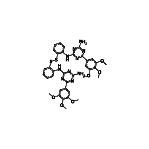 COc1cc(-c2nc(N)nc(Nc3ccccc3SSc3ccccc3Nc3nc(N)nc(-c4cc(OC)c(OC)c(OC)c4)n3)n2)cc(OC)c1OC